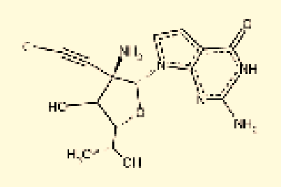 C[C@@H](O)[C@H]1O[C@@H](n2ccc3c(=O)[nH]c(N)nc32)[C@@](N)(C#CCl)C1O